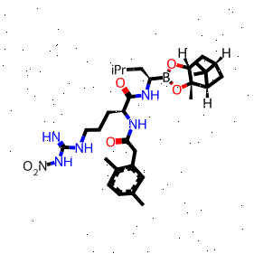 Cc1ccc(C)c(CC(=O)N[C@@H](CCCNC(=N)N[N+](=O)[O-])C(=O)N[C@@H](CC(C)C)B2O[C@@H]3C[C@@H]4C[C@@H](C4(C)C)[C@]3(C)O2)c1